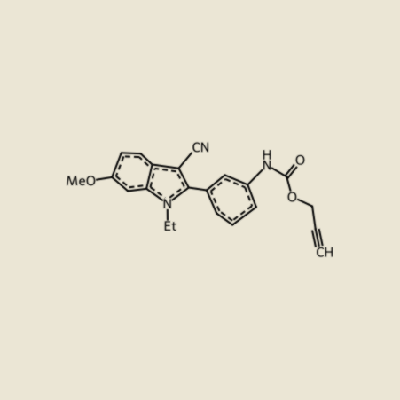 C#CCOC(=O)Nc1cccc(-c2c(C#N)c3ccc(OC)cc3n2CC)c1